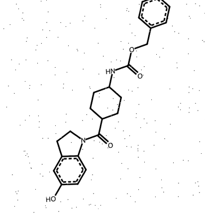 O=C(NC1CCC(C(=O)N2CCc3cc(O)ccc32)CC1)OCc1ccccc1